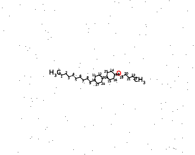 CCCCCCCCCCC1CCC([C@H]2CC[C@H](OCCCCC)CC2)CC1